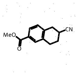 COC(=O)c1ccc2c(c1)CCC(C#N)C2